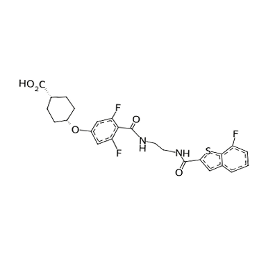 O=C(NCCNC(=O)c1c(F)cc(O[C@H]2CC[C@@H](C(=O)O)CC2)cc1F)c1cc2cccc(F)c2s1